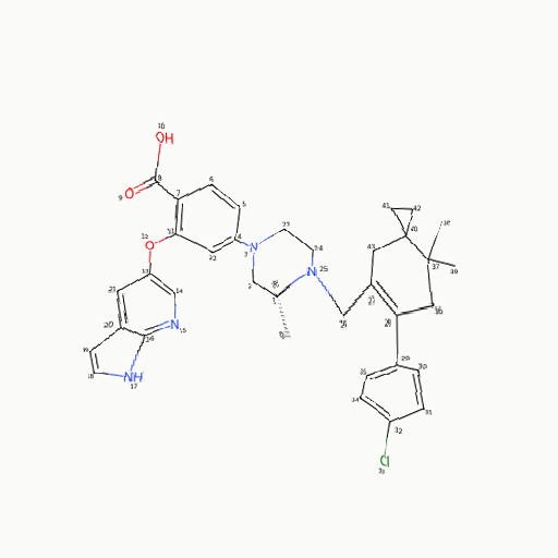 C[C@@H]1CN(c2ccc(C(=O)O)c(Oc3cnc4[nH]ccc4c3)c2)CCN1CC1=C(c2ccc(Cl)cc2)CC(C)(C)C2(CC2)C1